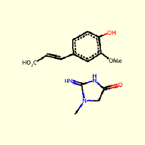 CN1CC(=O)NC1=N.COc1cc(C=CC(=O)O)ccc1O